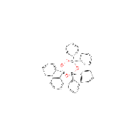 c1ccc([Si]2(c3ccccc3)OO[Si](c3ccccc3)(c3ccccc3)O[Si](c3ccccc3)(c3ccccc3)O2)cc1